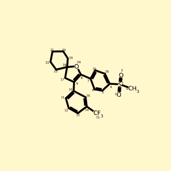 CS(=O)(=O)c1ccc(C2=C(c3cccc(C(F)(F)F)c3)CC3(CCCCC3)O2)cc1